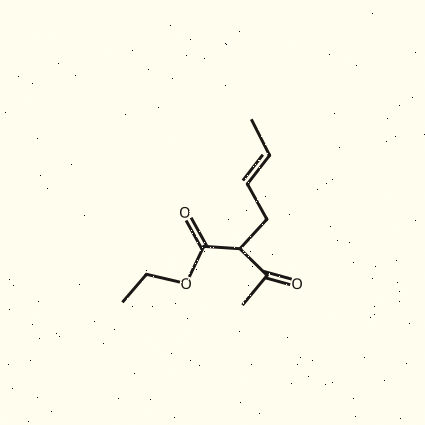 CC=CCC(C(C)=O)C(=O)OCC